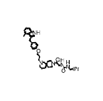 Cc1cccc2[nH]cc(Cc3ccc(OCCCN4CCCC5(CCN(C(=O)CNC(=O)NCC(C)C)CC5)C4)cc3)c12